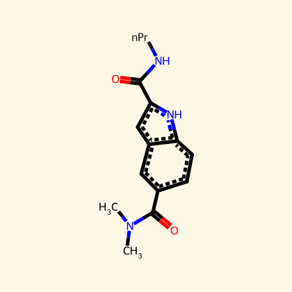 CCCNC(=O)c1cc2cc(C(=O)N(C)C)ccc2[nH]1